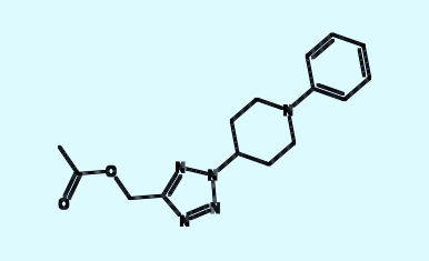 CC(=O)OCc1nnn(C2CCN(c3ccccc3)CC2)n1